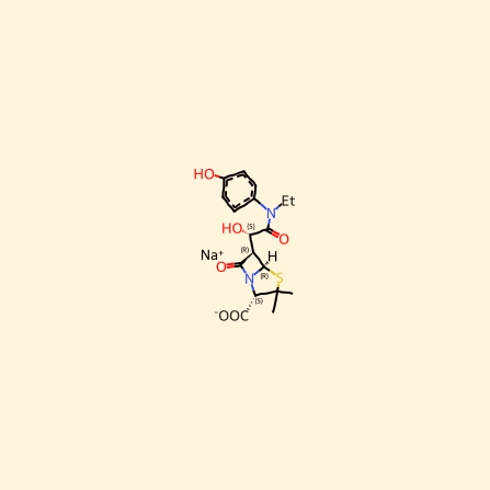 CCN(C(=O)[C@@H](O)[C@@H]1C(=O)N2[C@@H]1SC(C)(C)[C@@H]2C(=O)[O-])c1ccc(O)cc1.[Na+]